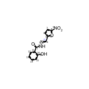 O=C(N/N=C/c1ccc([N+](=O)[O-])o1)c1ccccc1O